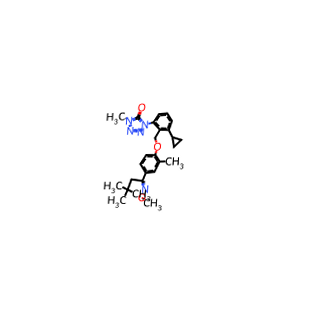 CON=C(CC(C)(C)C)c1ccc(OCc2c(C3CC3)cccc2-n2nnn(C)c2=O)c(C)c1